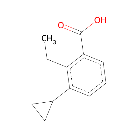 CCc1c(C(=O)O)cccc1C1CC1